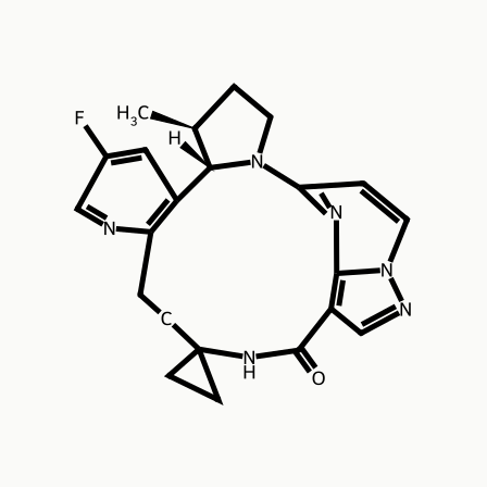 C[C@H]1CCN2c3ccn4ncc(c4n3)C(=O)NC3(CCc4ncc(F)cc4[C@H]12)CC3